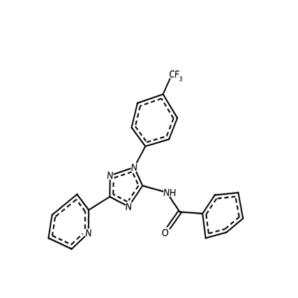 O=C(Nc1nc(-c2ccccn2)nn1-c1ccc(C(F)(F)F)cc1)c1ccccc1